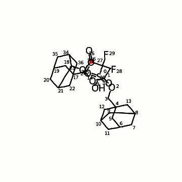 CC(OCC12CC3CC(CC(C3)C1)C2)OC(=O)C12CC3CC(C1)C(OC(=O)C(F)(F)S(=O)(=O)O)C(C3)C2